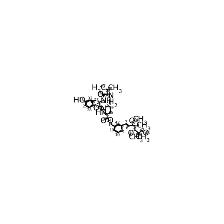 CO[C@H]([C@@H](C)[C@H](/C=C/c1cccc(COC(=O)[C@@H]2CCCN(C(=O)[C@H](Cc3cccc(O)c3)NC(=O)[C@@H](N)C(C)C)N2)c1)OC)[C@@H](C)C=O